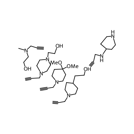 C#CCN(C)CCO.C#CCN1CCC(CCO)CC1.C#CCN1CCC(OC)(OC)CC1.C#CCN1CCN(CCO)CC1.C#CCNC1CCNCC1